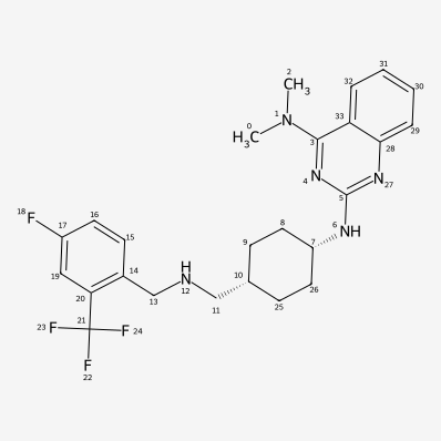 CN(C)c1nc(N[C@H]2CC[C@@H](CNCc3ccc(F)cc3C(F)(F)F)CC2)nc2ccccc12